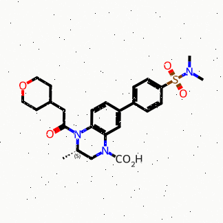 C[C@H]1CN(C(=O)O)c2cc(-c3ccc(S(=O)(=O)N(C)C)cc3)ccc2N1C(=O)CC1CCOCC1